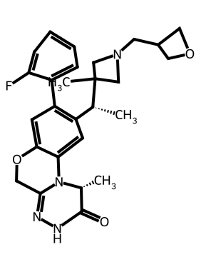 C[C@@H]1C(=O)NN=C2COc3cc(-c4ccccc4F)c([C@@H](C)C4(C)CN(CC5COC5)C4)cc3N21